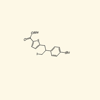 COC(=O)c1ccc(CC(CI)c2ccc(C(C)(C)C)cc2)s1